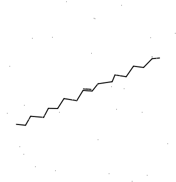 C[CH]CCCCCC/C=C/CCCCCCCC